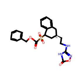 O=C(OCc1ccccc1)S(=O)(=O)C1C[C@H](CCNc2noc(=O)[nH]2)Cc2ccccc21